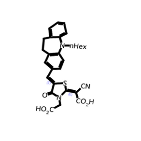 CCCCCCN1c2ccccc2CCc2cc(/C=c3\s/c(=C(\C#N)C(=O)O)n(CC(=O)O)c3=O)ccc21